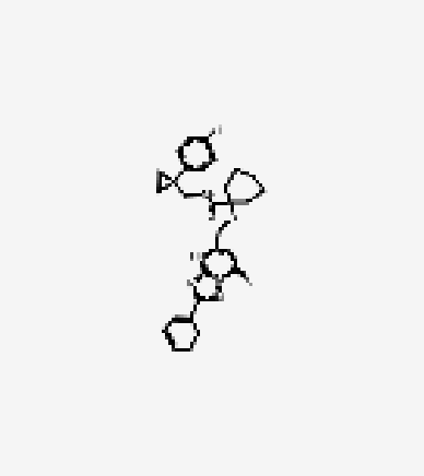 O=C(NCC1(c2ccc(Cl)cc2)CC1)C1(OCc2cc(=O)n3nc(C4=CC=CCC4)nc3[nH]2)CCCCC1